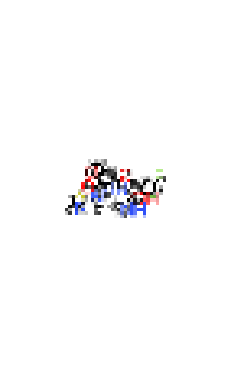 Cc1csc([C@H]2CCCN2C(=O)c2cc(C(=O)N[C@@H](Cc3cc(F)cc(F)c3)[C@H](O)[C@H]3CCCN3)cc3c2OCC3)n1